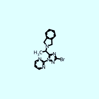 CC(c1nc(Br)nn1-c1ncccn1)N1Cc2ccccc2C1